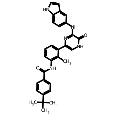 Cc1c(NC(=O)c2ccc(C(C)(C)C)cc2)cccc1-c1c[nH]c(=O)c(Nc2ccc3[nH]ccc3c2)n1